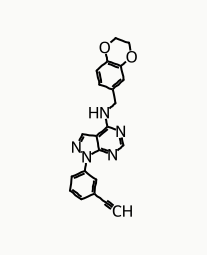 C#Cc1cccc(-n2ncc3c(NCc4ccc5c(c4)OCCO5)ncnc32)c1